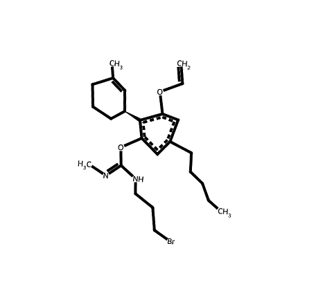 C=COc1cc(CCCCC)cc(O/C(=N\C)NCCCBr)c1[C@@H]1C=C(C)CCC1